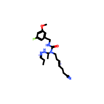 CC/C=N\NC(C)N(CC/C=C/CCC#N)C(=O)NCc1cc(F)cc(OC)c1